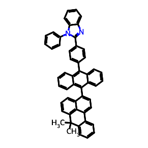 CC1(C)c2ccccc2-c2ccc(-c3c4ccccc4c(-c4ccc(-c5nc6ccccc6n5-c5ccccc5)cc4)c4ccccc34)c3cccc1c23